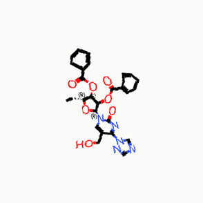 CC[C@H]1O[C@@H](n2cc(CO)c(-n3cncn3)nc2=O)C(OC(=O)c2ccccc2)[C@H]1OC(=O)c1ccccc1